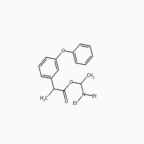 CCN(CC)C(C)OC(=O)C(C)c1cccc(Oc2ccccc2)c1